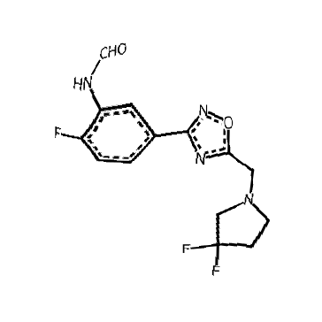 O=CNc1cc(-c2noc(CN3CCC(F)(F)C3)n2)ccc1F